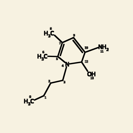 CCCCN1C(C)=C(C)C=C(N)C1O